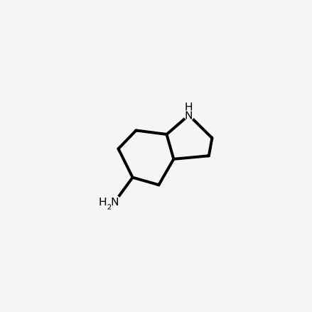 NC1CCC2NCCC2C1